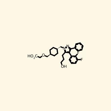 O=C(O)COC[C@H]1CC[C@H](Cn2nc(-c3ccccc3)c(-c3cccc(F)c3F)c2CCCO)CC1